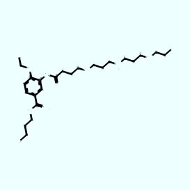 CCCCNC(=O)c1ccc(SCC)c(NC(=O)CCCOCCCOCCCOCCC)c1